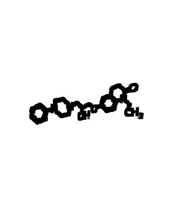 CCN1C(=O)CCc2cc(OCC(O)CN3CCN(c4ccccc4)CC3)ccc21